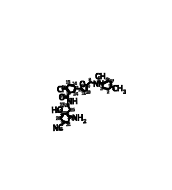 Cc1ccc([C@@H](C)NCc2ccc(-c3ccc(Cl)c(C(=O)N[C@@H](CO)Cc4ccc(C#N)cc4N)c3)o2)cc1